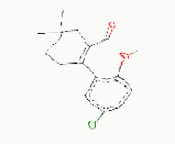 COc1ccc(Cl)cc1C1=C(C=O)CC(C)(C)CC1